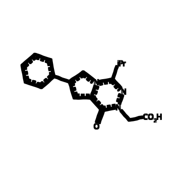 CC(C)c1nn(CC(=O)O)c(=O)c2cc(-c3ccccc3)cn12